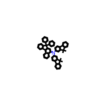 CC1(C)c2ccccc2-c2ccc(N(c3ccc4c(c3)C(C)(C)c3ccccc3-4)c3cc4c(c5ccccc35)-c3ccccc3C4(c3ccccc3)c3ccccc3)cc21